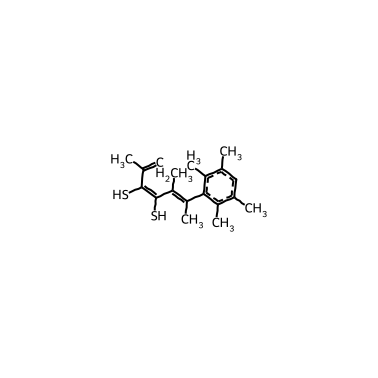 C=C(C)/C(S)=C(S)\C(C)=C(/C)c1c(C)c(C)cc(C)c1C